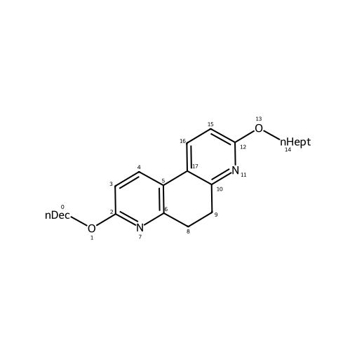 CCCCCCCCCCOc1ccc2c(n1)CCc1nc(OCCCCCCC)ccc1-2